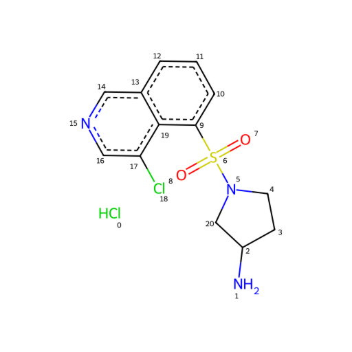 Cl.NC1CCN(S(=O)(=O)c2cccc3cncc(Cl)c23)C1